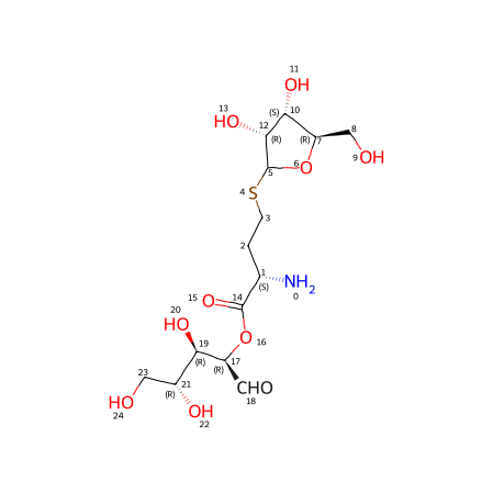 N[C@@H](CCSC1O[C@H](CO)[C@@H](O)[C@H]1O)C(=O)O[C@@H](C=O)[C@H](O)[C@H](O)CO